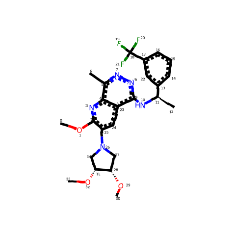 COc1nc2c(C)nnc(N[C@H](C)c3cccc(C(F)(F)F)c3)c2cc1N1C[C@H](OC)[C@H](OC)C1